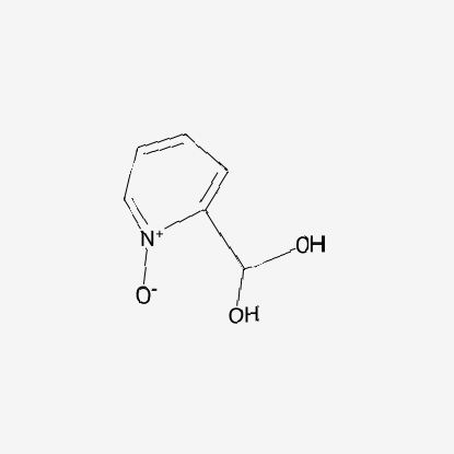 [O-][n+]1ccccc1C(O)O